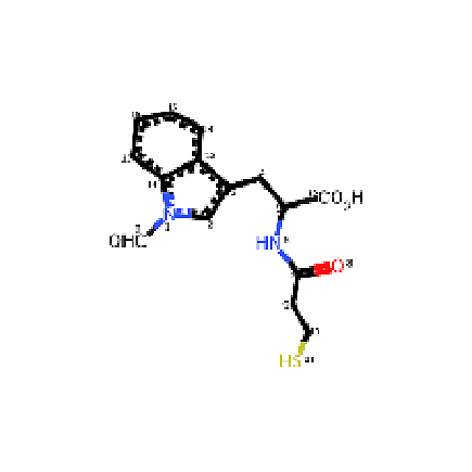 O=Cn1cc(CC(NC(=O)CCS)C(=O)O)c2ccccc21